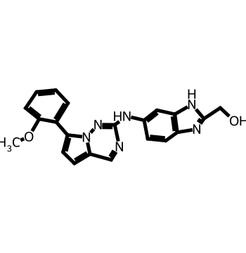 COc1ccccc1-c1ccc2cnc(Nc3ccc4nc(CO)[nH]c4c3)nn12